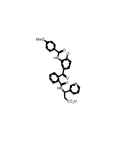 COc1ccc(C(=O)Nc2cc(C(=O)c3ccccc3C(=O)NC(CC(=O)O)c3cccnc3)ccc2Cl)cc1